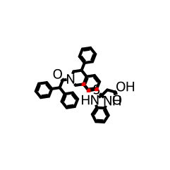 O=C(O)CC1(SCCCN(CC(c2ccccc2)c2ccccc2)C(=O)C(c2ccccc2)c2ccccc2)Nc2ccccc2N1